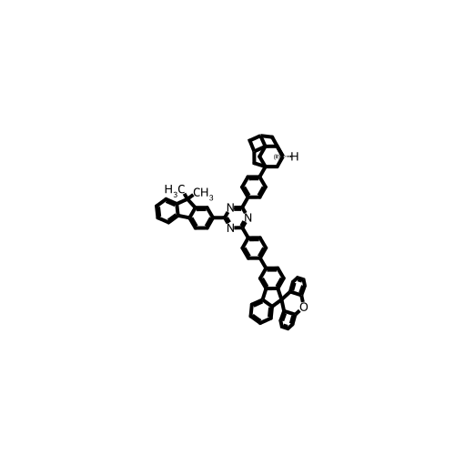 CC1(C)c2ccccc2-c2ccc(-c3nc(-c4ccc(-c5ccc6c(c5)-c5ccccc5C65c6ccccc6Oc6ccccc65)cc4)nc(-c4ccc(C56CC7CC8C[C@@H](C5)CC87C6)cc4)n3)cc21